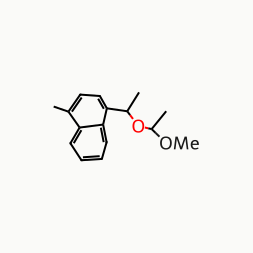 COC(C)OC(C)c1ccc(C)c2ccccc12